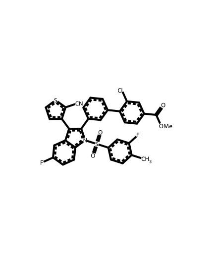 COC(=O)c1ccc(-c2cccc(-c3c(-c4ccsc4C#N)c4cc(F)ccc4n3S(=O)(=O)c3ccc(C)c(F)c3)c2)c(Cl)c1